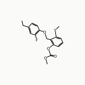 CCc1ccc(OCc2c(OC(=O)OC)cccc2SC)c(F)c1